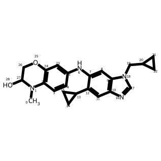 CN1c2ccc(Nc3cc4c(cc3C3CC3)ncn4CC3CC3)cc2OCC1O